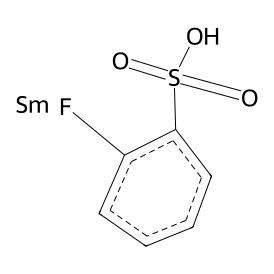 O=S(=O)(O)c1ccccc1F.[Sm]